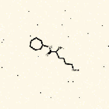 CNCCCCC(N)C(=O)NC1CCCCCC1